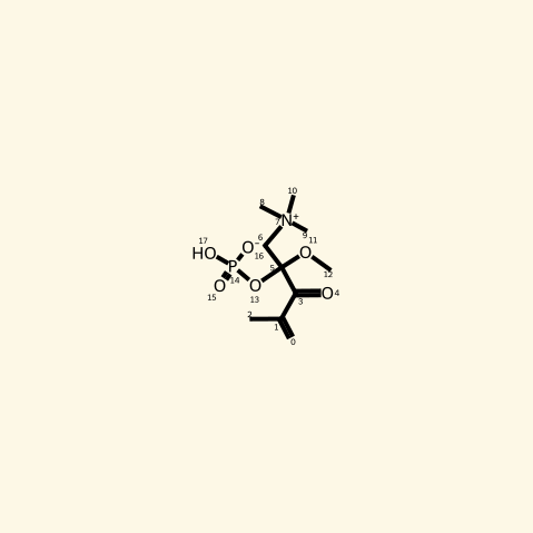 C=C(C)C(=O)C(C[N+](C)(C)C)(OC)OP(=O)([O-])O